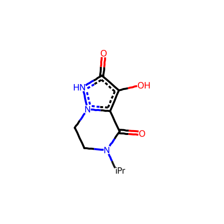 CC(C)N1CCn2[nH]c(=O)c(O)c2C1=O